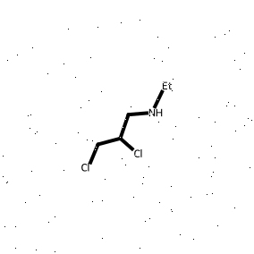 CCNCC(Cl)CCl